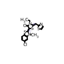 CCn1c(=O)/c(=C2\Sc3ccc(Cl)cc3N2C)s/c1=C\c1nccs1